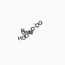 COc1ccc(-c2ccc3c(c2)CN(C)[C@@H]3CNc2cnccc2C(=O)O)c(C)c1